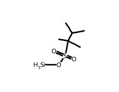 CC(C)C(C)(C)S(=O)(=O)O[SiH3]